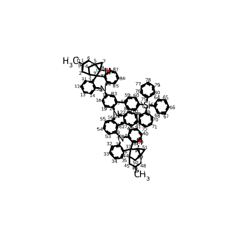 C[C@@H]1CC2C[C@]3(C1)C[C@@H]3C21c2ccccc2N(c2ccc(-n3c4ccccc4c4c(N5c6ccccc6C6(c7ccccc75)C5C[C@H](C)C[C@]7(C5)C[C@@H]67)cccc43)c(-c3ccc([Si](c4ccccc4)(c4ccccc4)c4ccccc4)cc3)c2)c2ccccc21